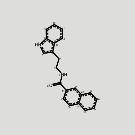 O=C(NCCc1c[nH]c2ccccc12)c1ccc2ccccc2c1